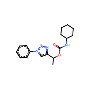 CC(OC(=O)NC1CCCCC1)c1cn(-c2ccccc2)nn1